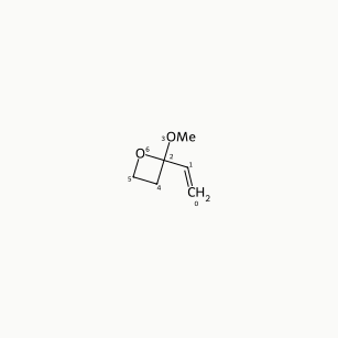 C=CC1(OC)CCO1